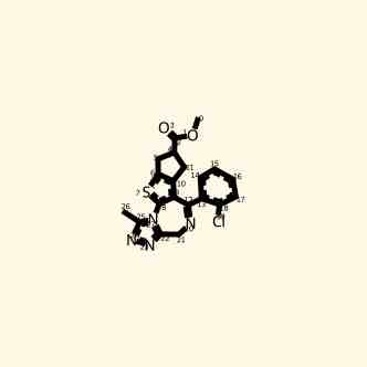 COC(=O)C1Cc2sc3c(c2C1)C(c1ccccc1Cl)=NCc1nnc(C)n1-3